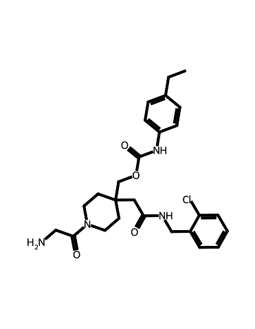 CCc1ccc(NC(=O)OCC2(CC(=O)NCc3ccccc3Cl)CCN(C(=O)CN)CC2)cc1